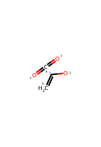 C=C[O].O=C=O